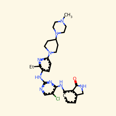 CCc1nc(N2CCC(N3CCN(C)CC3)CC2)ccc1Nc1ncc(Cl)c(Nc2cccc3c2C(=O)NC3)n1